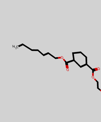 CCCCCCCOC(=O)C1CCCC(C(=O)OCCO)C1